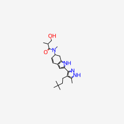 Cc1[nH]nc(-c2cc3c([nH]2)CC(N(C)C(=O)C(C)CO)C=C3)c1CCC(C)(C)C